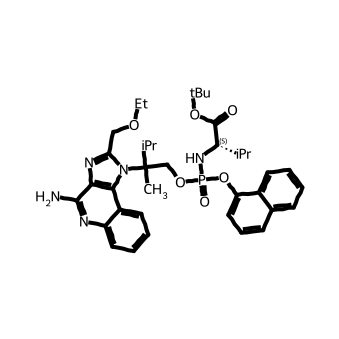 CCOCc1nc2c(N)nc3ccccc3c2n1C(C)(COP(=O)(N[C@H](C(=O)OC(C)(C)C)C(C)C)Oc1cccc2ccccc12)C(C)C